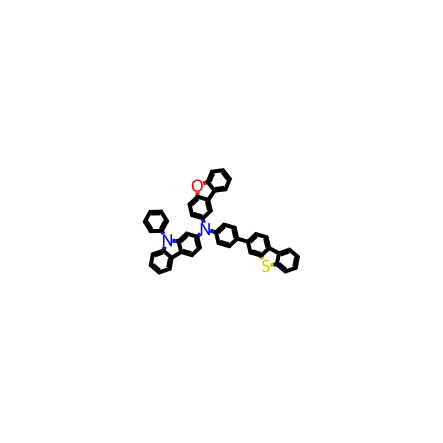 c1ccc(-n2c3ccccc3c3ccc(N(c4ccc(-c5ccc6c(c5)sc5ccccc56)cc4)c4ccc5oc6ccccc6c5c4)cc32)cc1